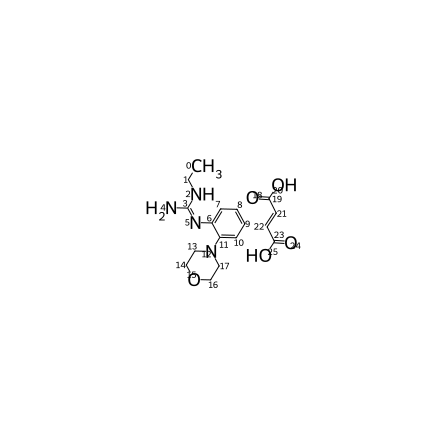 CCNC(N)=Nc1ccccc1N1CCOCC1.O=C(O)/C=C/C(=O)O